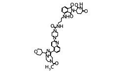 CC(=O)N1CCn2c(C3CCOCC3)nc(-c3cccc4nc(N5CCN(C(=O)NCCCNc6cccc7c6C(=O)N(C6CCC(=O)NC6=O)C7=O)CC5)ccc34)c2C1